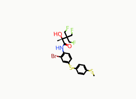 CSc1ccc(Sc2ccc(NC(=O)[C@](C)(O)C(CF)(CF)CF)c(Br)c2)cc1